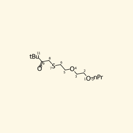 CCCOCCOCCSCC(=O)C(C)(C)C